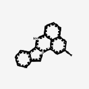 Cc1[c]c2c3c(cccc3[nH]c3c4ccccc4cn23)c1